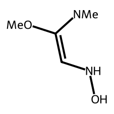 CN/C(=C\NO)OC